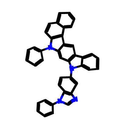 c1ccc(-n2cnc3cc(-n4c5ccccc5c5cc6c7c8ccccc8ccc7n(-c7ccccc7)c6cc54)ccc32)cc1